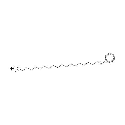 [CH2]CCCCCCCCCCCCCCCCCCCc1ccccc1